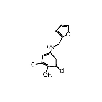 Oc1c(Cl)cc(NCc2ccco2)cc1Cl